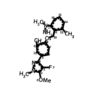 COc1c(F)c(-c2ccc(OCc3c(C)cccc3N(C)N)c(C)c2)nn1C